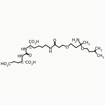 C=C(C)CCOC(C)(N)CCOCCC(=O)NCCCC[C@H](NC(=O)N[C@@H](CCC(=O)O)C(=O)O)C(=O)O